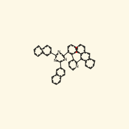 c1ccc(-c2cccnc2-c2c3ccccc3cc3ccccc23)c(-c2nc(-c3ccc4ccccc4c3)nc(-c3ccc4ccccc4c3)n2)c1